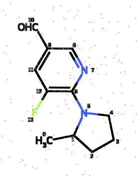 CC1CCCN1c1ncc(C=O)cc1F